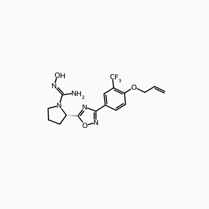 C=CCOc1ccc(-c2noc([C@@H]3CCCN3/C(N)=N/O)n2)cc1C(F)(F)F